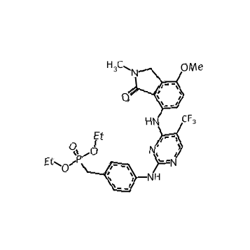 CCOP(=O)(Cc1ccc(Nc2ncc(C(F)(F)F)c(Nc3ccc(OC)c4c3C(=O)N(C)C4)n2)cc1)OCC